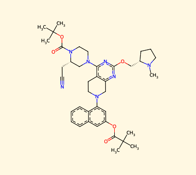 CN1CCC[C@H]1COc1nc2c(c(N3CCN(C(=O)OC(C)(C)C)[C@@H](CC#N)C3)n1)CCN(c1cc(OC(=O)C(C)(C)C)cc3ccccc13)C2